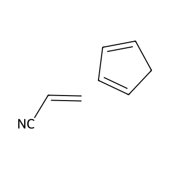 C1=CCC=C1.C=CC#N